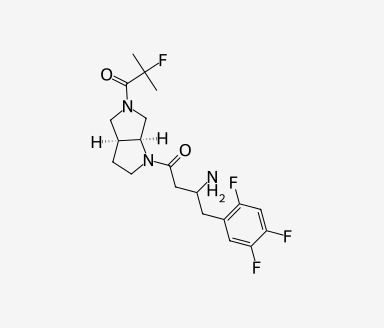 CC(C)(F)C(=O)N1C[C@@H]2CCN(C(=O)CC(N)Cc3cc(F)c(F)cc3F)[C@@H]2C1